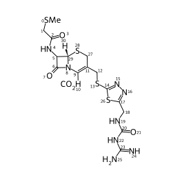 CSCC(=O)NC1C(=O)N2C(C(=O)O)=C(CSc3nnc(CNC(=O)NC(=N)N)s3)CS[C@@H]12